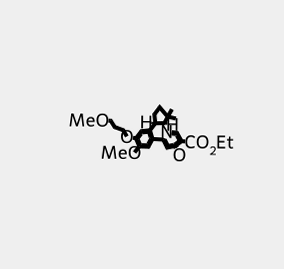 CCOC(=O)c1cn2c(cc1=O)-c1cc(OC)c(OCCCOC)cc1[C@@H]1CCC(C)(C)[C@@H]12